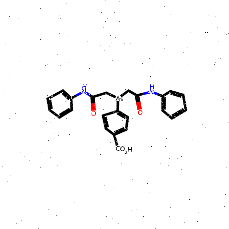 O=C(C[As](CC(=O)Nc1ccccc1)c1ccc(C(=O)O)cc1)Nc1ccccc1